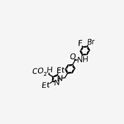 CCc1nn(Cc2ccc(C(=O)Nc3ccc(Br)c(F)c3)cc2)c(CC)c1CC(=O)O